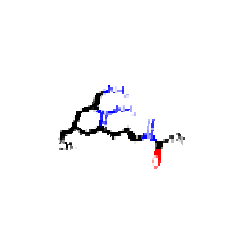 C/C=C(\CCC/C=C/NC(=O)CCC)C/C(=C/N)NN